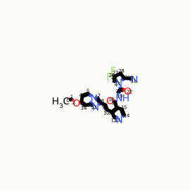 CCOc1ccn2cc(C=Cc3cnccc3C(=O)NCC(=O)N3CC(F)(F)CC3C#N)nc2c1